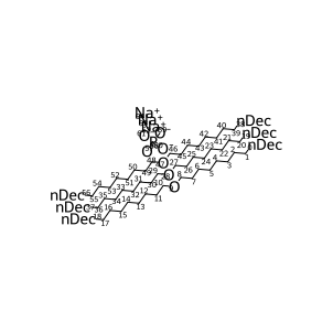 CCCCCCCCCCCCCCCCCCOCCCCCCCCCCCCCCCCCC.CCCCCCCCCCCCCCCCCCOCCCCCCCCCCCCCCCCCC.CCCCCCCCCCCCCCCCCCOCCCCCCCCCCCCCCCCCC.O=P([O-])([O-])[O-].[Na+].[Na+].[Na+]